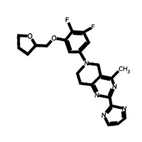 Cc1nc(-c2ncccn2)nc2c1CN(c1cc(F)c(F)c(OCC3CCCO3)c1)CC2